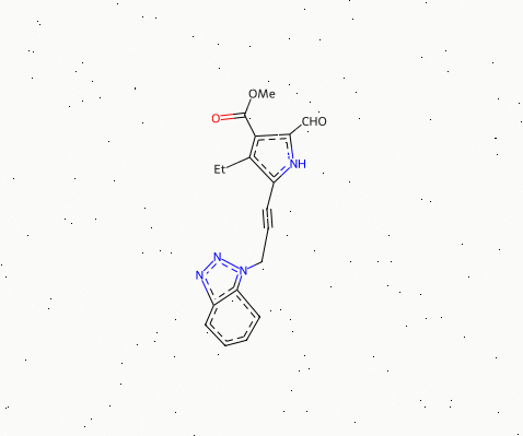 CCc1c(C#CCn2nnc3ccccc32)[nH]c(C=O)c1C(=O)OC